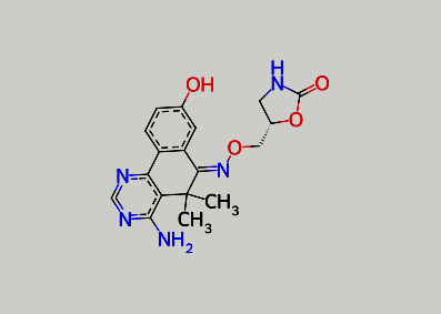 CC1(C)/C(=N/OC[C@@H]2CNC(=O)O2)c2cc(O)ccc2-c2ncnc(N)c21